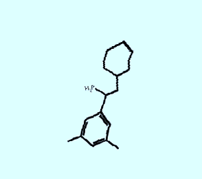 Cc1cc(C)cc(C(P)C[C]2CCCCC2)c1